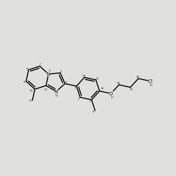 Cc1cc(-c2cn3cccc(C)c3n2)ccc1OCCCCl